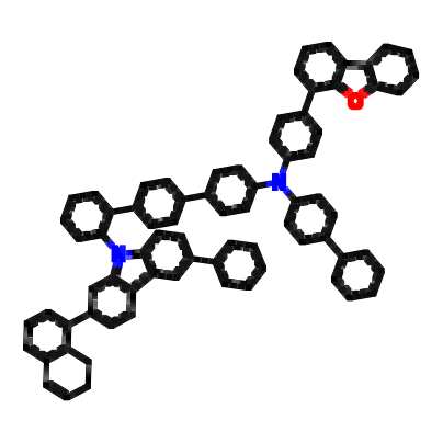 C1=Cc2cccc(-c3ccc4c5cc(-c6ccccc6)ccc5n(-c5ccccc5-c5ccc(-c6ccc(N(c7ccc(-c8ccccc8)cc7)c7ccc(-c8cccc9c8oc8ccccc89)cc7)cc6)cc5)c4c3)c2CC1